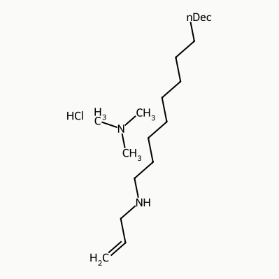 C=CCNCCCCCCCCCCCCCCCCCC.CN(C)C.Cl